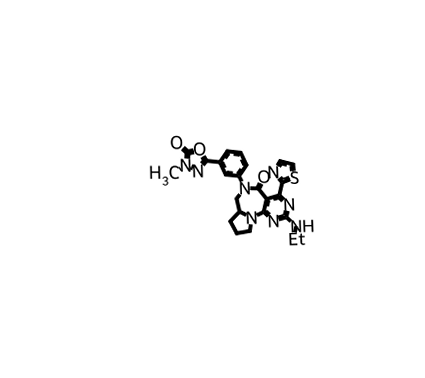 CCNc1nc(-c2nccs2)c2c(n1)N1CCCC1CN(c1cccc(-c3nn(C)c(=O)o3)c1)C2=O